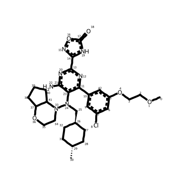 COCCOc1cc(Cl)cc(-c2nc(-c3noc(=O)[nH]3)nc(N)c2N(C[C@H]2CC[C@H](C)CC2)N2CCOC3CCCC32)c1